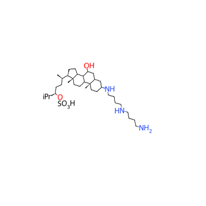 CC(C)[C@@H](CC[C@@H](C)[C@H]1CCC2C3C(CC[C@@]21C)[C@@]1(C)CC[C@H](NCCCCNCCCCN)CC1C[C@@H]3O)OS(=O)(=O)O